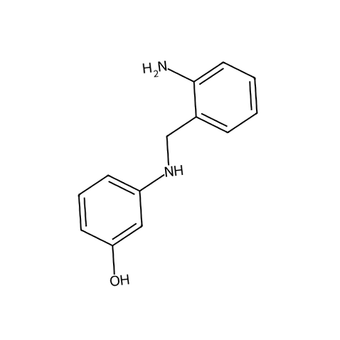 Nc1ccccc1CNc1cccc(O)c1